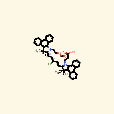 CC1(C)C(/C=C/C(Cl)=C/C=C2\N(CCOC=O)c3c(c4ccccc4c4ccccc34)C2(C)C)=[N+](CCC(=O)O)c2c1c1ccccc1c1ccccc21